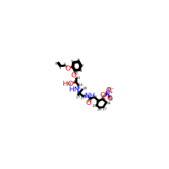 C=CCOc1ccccc1OCC(O)CNC(C)(C)CNC(=O)CC1CCCCC1O[N+](=O)[O-]